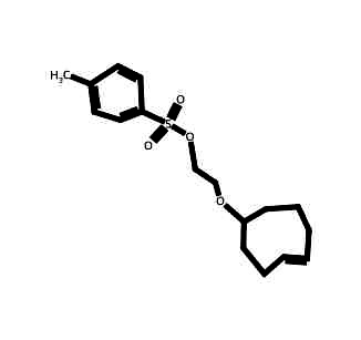 Cc1ccc(S(=O)(=O)OCCOC2CC/C=C/CCC2)cc1